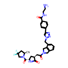 N#C[C@@H]1CC(F)(F)CN1C(=O)[C@@H]1C[C@@H](CC(=O)N2Cc3cccc(Cn4cc(-c5ccc(C(=O)NCCN)cc5)nn4)c3C2)C(=O)N1